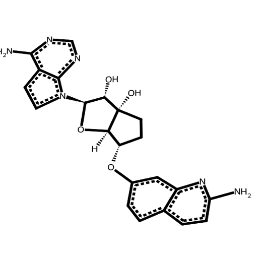 Nc1ccc2ccc(O[C@H]3CC[C@@]4(O)[C@@H]3O[C@@H](n3ccc5c(N)ncnc53)[C@@H]4O)cc2n1